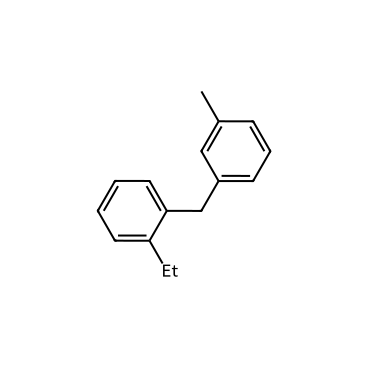 CCc1ccccc1Cc1cccc(C)c1